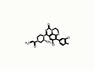 C=CC(=O)N1CCN(c2nc(=O)n3c4c(c(-c5ccc(F)c(Cl)c5)c(Cl)cc24)SCC3)[C@@H](C)C1